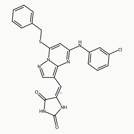 O=C1NC(=O)/C(=C\c2cnn3c(SCc4ccccc4)cc(Nc4cccc(Cl)c4)nc23)N1